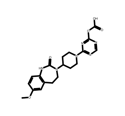 COc1ccc2c(c1)CCN(C1CCN(c3ncnc(OC(=O)O)n3)CC1)C(=O)N2